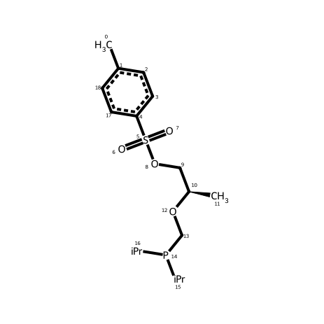 Cc1ccc(S(=O)(=O)OC[C@@H](C)OCP(C(C)C)C(C)C)cc1